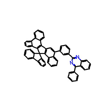 c1ccc(-c2nc(-c3cccc(-c4cc5c(c6ccccc46)C4(c6ccccc6-c6ccccc64)c4c-5c5ccccc5c5ccccc45)c3)nc3ccccc23)cc1